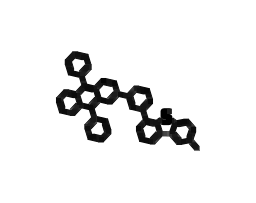 Cc1ccc2sc3c(-c4cccc(-c5ccc6c(-c7ccccc7)c7ccccc7c(-c7ccccc7)c6c5)c4)cccc3c2c1